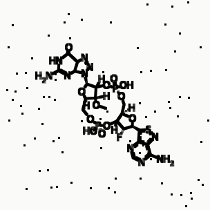 CO[C@H]1[C@H]2OP(=O)(O)OC[C@H]3O[C@@H](c4snc5c(N)ncnc45)[C@H](F)[C@@H]3OP(=O)(O)OC[C@H]1O[C@H]2N1N=NC2C(=O)NC(N)=NC21